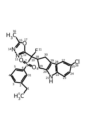 CCc1cccc(S(=O)(=O)C(F)(c2nnc(C)o2)C2Cc3[nH]c4ccc(Cl)cc4c3C2)c1